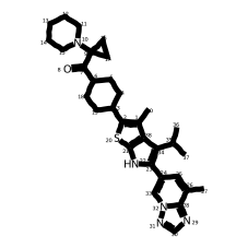 Cc1c(C2CCC(C(=O)C3(N4CCCCC4)CC3)CC2)sc2[nH]c(-c3cc(C)c4ncnn4c3)c(C(C)C)c12